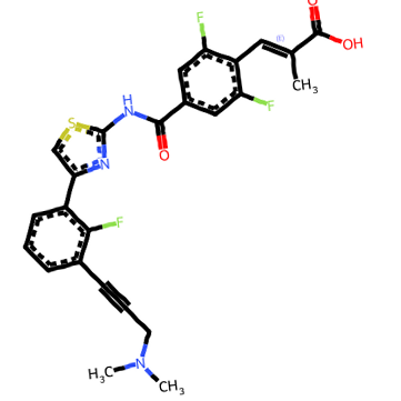 C/C(=C\c1c(F)cc(C(=O)Nc2nc(-c3cccc(C#CCN(C)C)c3F)cs2)cc1F)C(=O)O